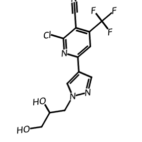 N#Cc1c(C(F)(F)F)cc(-c2cnn(CC(O)CO)c2)nc1Cl